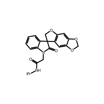 CC(C)NC(=O)CN1C(=O)C2(COc3cc4c(cc32)OCO4)c2ccccc21